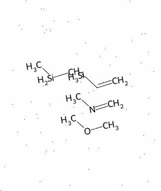 C=C[SiH3].C=NC.COC.C[SiH2]C